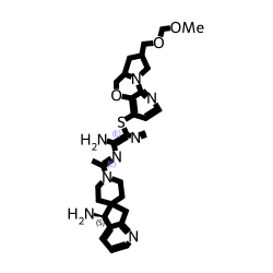 C=N/C(Sc1ccnc2c1OCC1CC(COCOC)CN21)=C(N)\N=C(/C)N1CCC2(CC1)Cc1ncccc1[C@H]2N